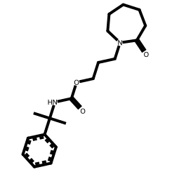 CC(C)(NC(=O)OCCCN1CCCCCC1=O)c1ccccc1